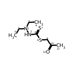 CCN(CC)NC(=S)SCC(C)=O